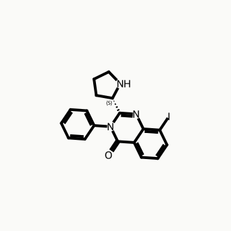 O=c1c2cccc(I)c2nc([C@@H]2CCCN2)n1-c1ccccc1